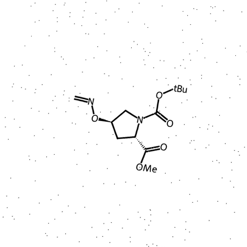 C=NO[C@@H]1C[C@@H](C(=O)OC)N(C(=O)OC(C)(C)C)C1